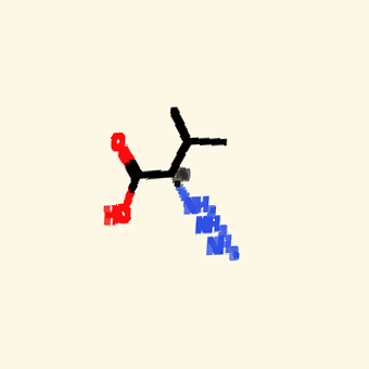 CC(C)[C@H](N)C(=O)O.N.N